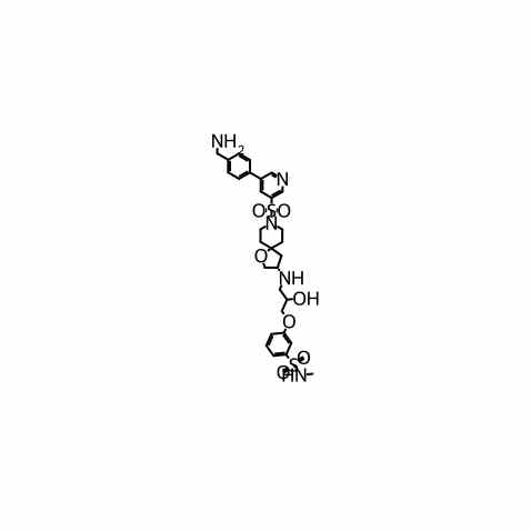 CNS(=O)(=O)c1cccc(OCC(O)CN[C@H]2COC3(CCN(S(=O)(=O)c4cncc(-c5ccc(CN)cc5)c4)CC3)C2)c1